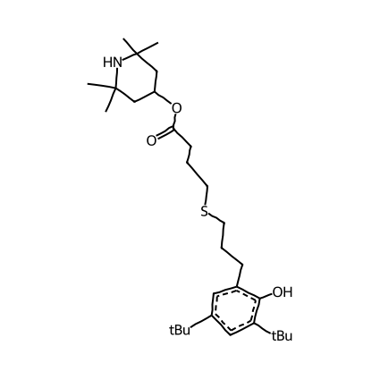 CC1(C)CC(OC(=O)CCCSCCCc2cc(C(C)(C)C)cc(C(C)(C)C)c2O)CC(C)(C)N1